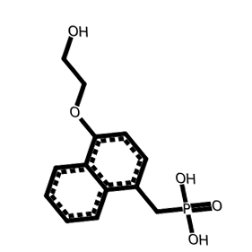 O=P(O)(O)Cc1ccc(OCCO)c2ccccc12